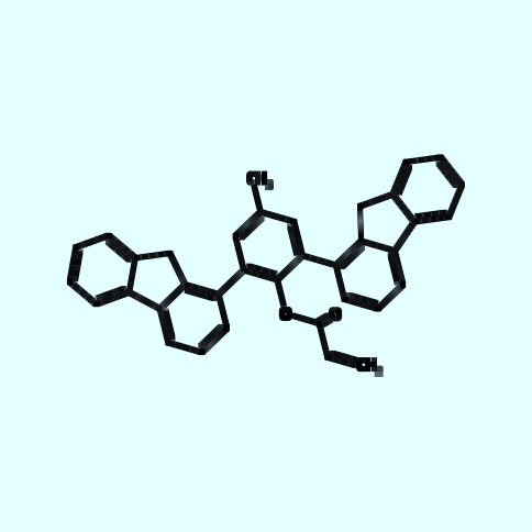 C=CC(=O)Oc1c(-c2cccc3c2Cc2ccccc2-3)cc(C)cc1-c1cccc2c1Cc1ccccc1-2